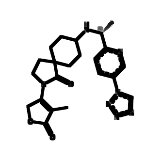 CC1=C(N2CCC3(CCC(N[C@H](C)c4ccc(-n5cnnn5)cn4)CC3)C2=O)COC1=O